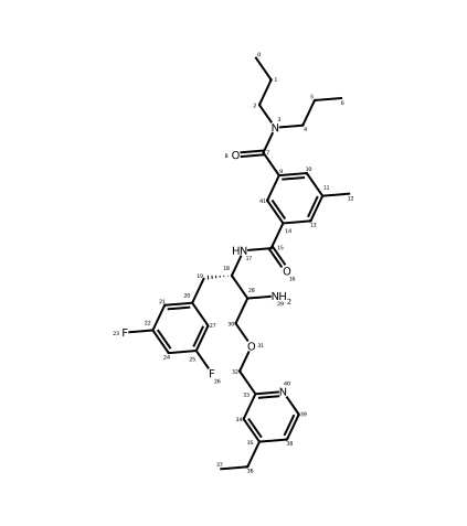 CCCN(CCC)C(=O)c1cc(C)cc(C(=O)N[C@@H](Cc2cc(F)cc(F)c2)C(N)COCc2cc(CC)ccn2)c1